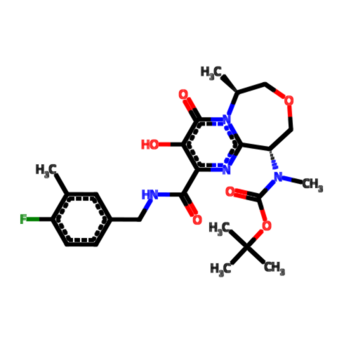 Cc1cc(CNC(=O)c2nc3n(c(=O)c2O)[C@@H](C)COC[C@@H]3N(C)C(=O)OC(C)(C)C)ccc1F